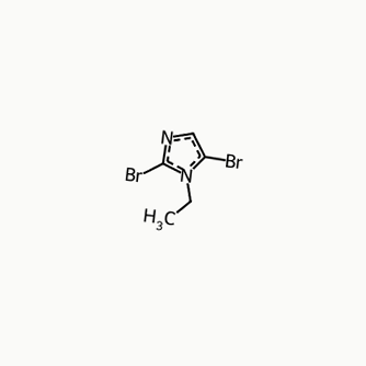 CCn1c(Br)cnc1Br